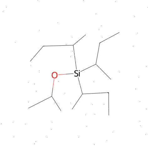 CCC(C)[Si](OC(C)C)(C(C)CC)C(C)CC